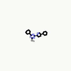 CCC(C)c1nc(-c2ccccc2)nc(-c2ccc(-c3ccccc3)cn2)n1